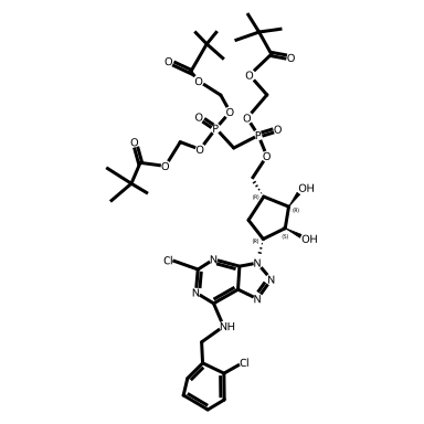 CC(C)(C)C(=O)OCOP(=O)(CP(=O)(OCOC(=O)C(C)(C)C)OC[C@H]1C[C@@H](n2nnc3c(NCc4ccccc4Cl)nc(Cl)nc32)[C@H](O)[C@@H]1O)OCOC(=O)C(C)(C)C